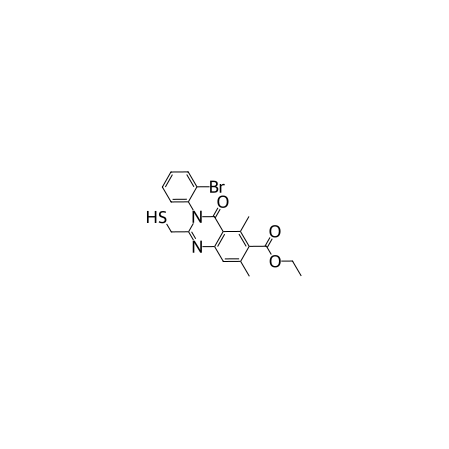 CCOC(=O)c1c(C)cc2nc(CS)n(-c3ccccc3Br)c(=O)c2c1C